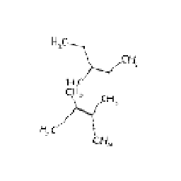 CC(C)C(C)C.CCC(C)CC